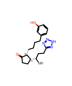 CCCC(CCc1nn[nH]n1)[C@@H]1CCC(=O)[C@@H]1CCCCc1cccc(O)c1